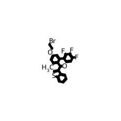 Cc1cc(OCCBr)cc(-c2ccc(F)c(F)c2F)c1C(=O)c1csc2ccccc12